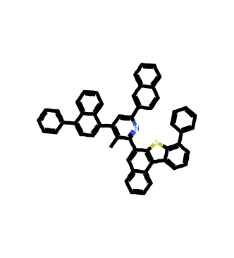 Cc1c(-c2ccc(-c3ccccc3)c3ccccc23)cc(-c2ccc3ccccc3c2)nc1-c1cc2ccccc2c2c1sc1c(-c3ccccc3)cccc12